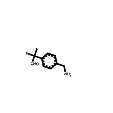 CC(F)(C=O)c1ccc(CN)cc1